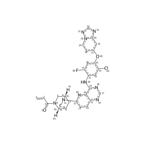 C=CC(=O)N1C[C@@H]2CC[C@H]1CN2c1ccc2ncnc(Nc3cc(Cl)c(Oc4ccn5ncnc5c4)cc3F)c2n1